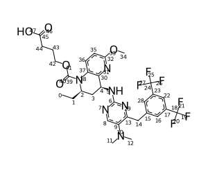 CC[C@@H]1C[C@H](Nc2ncc(N(C)C)c(Cc3cc(C(F)(F)F)cc(C(F)(F)F)c3)n2)c2nc(OC)ccc2N1C(=O)OCCCC(=O)O